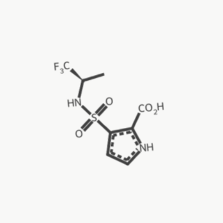 C[C@@H](NS(=O)(=O)c1cc[nH]c1C(=O)O)C(F)(F)F